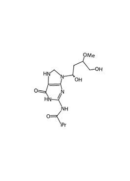 COC(CO)C[C@@H](O)N1CNc2c1nc(NC(=O)C(C)C)[nH]c2=O